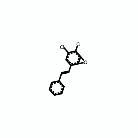 Clc1cc(C=Cc2ccccc2)c2c(c1Cl)O2